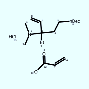 C=CC(CC)(CCCCCCCCCCCC)N(C)C.C=CC([O])=O.Cl